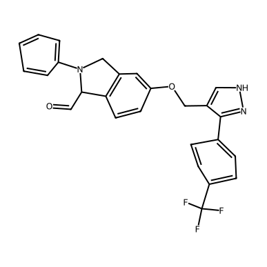 O=CC1c2ccc(OCc3c[nH]nc3-c3ccc(C(F)(F)F)cc3)cc2CN1c1ccccc1